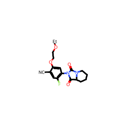 CCOCCOc1cc(N2C(=O)C3CCCCN3C2=O)c(F)cc1C#N